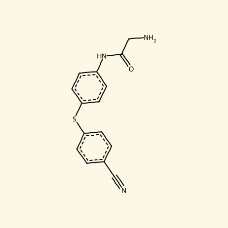 N#Cc1ccc(Sc2ccc(NC(=O)CN)cc2)cc1